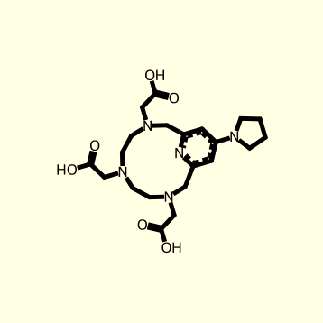 O=C(O)CN1CCN(CC(=O)O)Cc2cc(N3CCCC3)cc(n2)CN(CC(=O)O)CC1